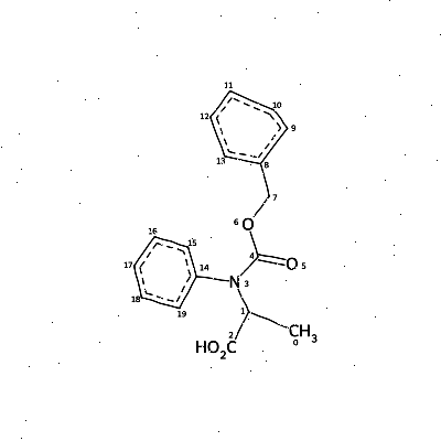 CC(C(=O)O)N(C(=O)OCc1ccccc1)c1ccccc1